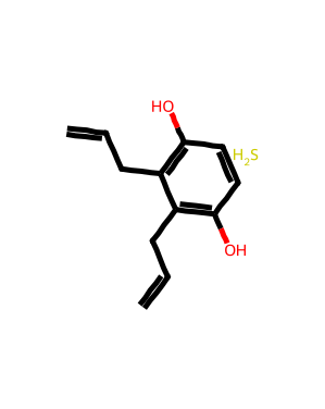 C=CCc1c(O)ccc(O)c1CC=C.S